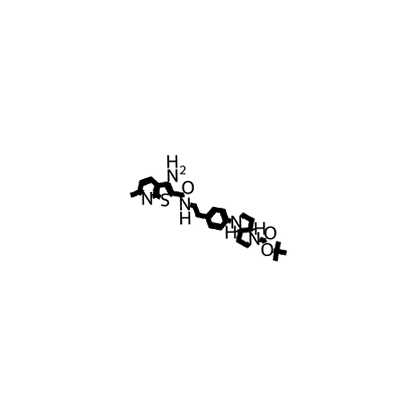 Cc1ccc2c(N)c(C(=O)NCCc3ccc(N4CC[C@@H]5[C@H]4CCN5C(=O)OC(C)(C)C)cc3)sc2n1